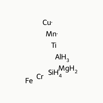 [AlH3].[Cr].[Cu].[Fe].[MgH2].[Mn].[SiH4].[Ti]